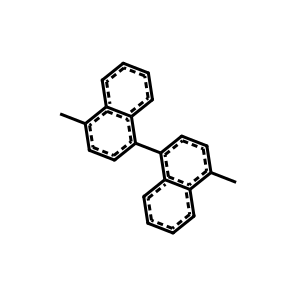 Cc1ccc(-c2ccc(C)c3ccccc23)c2ccccc12